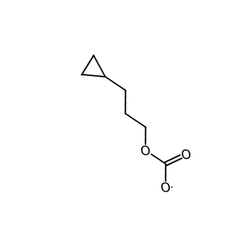 [O]C(=O)OCCCC1CC1